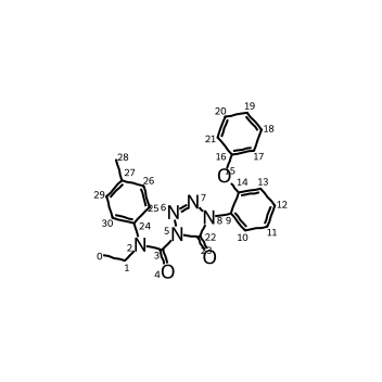 CCN(C(=O)n1nnn(-c2ccccc2Oc2ccccc2)c1=O)c1ccc(C)cc1